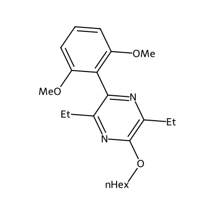 CCCCCCOc1nc(CC)c(-c2c(OC)cccc2OC)nc1CC